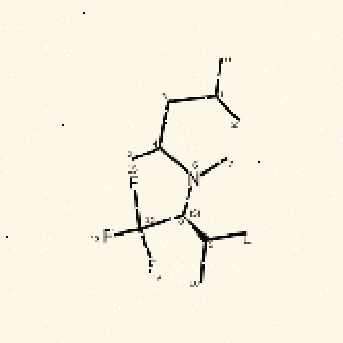 CC(C)CC(C)N(C)[C@@H](C(C)C)C(F)(F)F